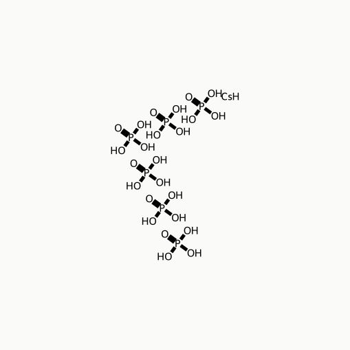 O=P(O)(O)O.O=P(O)(O)O.O=P(O)(O)O.O=P(O)(O)O.O=P(O)(O)O.O=P(O)(O)O.[CsH]